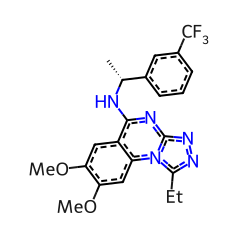 CCc1nnc2nc(N[C@H](C)c3cccc(C(F)(F)F)c3)c3cc(OC)c(OC)cc3n12